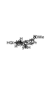 COc1cc([C@@H](C)N2CCN(C3CC4(CCN(c5ccc(C(=O)NS(=O)(=O)c6cnc(NCC7CCC(C)(O)CC7)c([N+](=O)[O-])c6)c(Oc6cc7c(F)c[nH]c7nc6OC)c5)CC4)C3)[C@H](c3ccccc3C(C)C)C2)ccn1